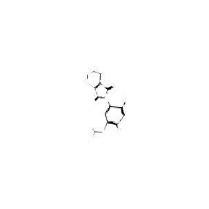 CC(C)Oc1cc(N2C(=O)C3=C(C2=O)C(C)CCC3)c(F)cc1Cl